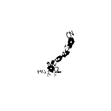 C[C@@H](F)Oc1cc(C(=O)O)cc2c1nc(CN1CCC(c3cccc(OCc4ccc(C#N)cc4F)n3)CC1)n2C